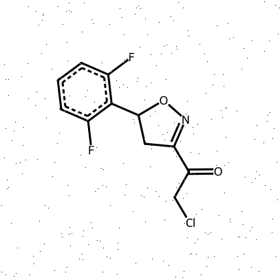 O=C(CCl)C1=NOC(c2c(F)cccc2F)C1